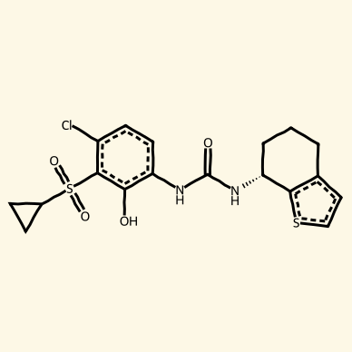 O=C(Nc1ccc(Cl)c(S(=O)(=O)C2CC2)c1O)N[C@@H]1CCCc2ccsc21